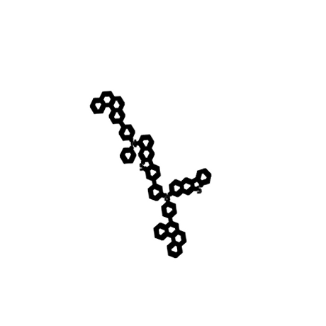 c1ccc(N(c2ccc(-c3ccc4c(ccc5ccc6ccccc6c54)c3)cc2)c2cccc3cc4c(cc23)sc2cc(-c3cccc(N(c5ccc(-c6cc7ccc8ccccc8c7c7ccccc67)cc5)c5ccc6cc7c(cc6c5)sc5ccccc57)c3)ccc24)cc1